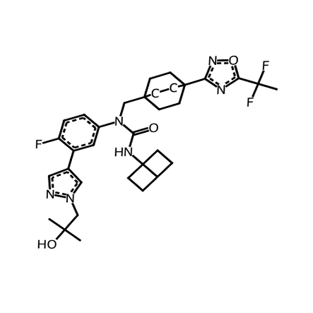 CC(C)(O)Cn1cc(-c2cc(N(CC34CCC(c5noc(C(C)(F)F)n5)(CC3)CC4)C(=O)NC34CCC3CC4)ccc2F)cn1